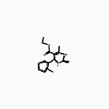 CCOC(=O)C1=C(C)NC(=S)NC1c1ccccc1C